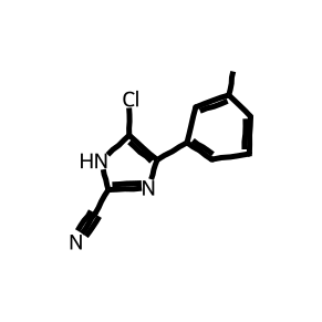 Cc1cccc(-c2nc(C#N)[nH]c2Cl)c1